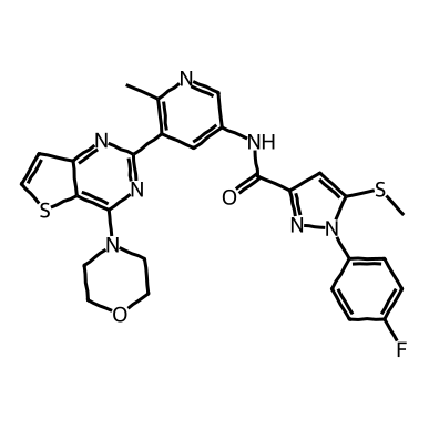 CSc1cc(C(=O)Nc2cnc(C)c(-c3nc(N4CCOCC4)c4sccc4n3)c2)nn1-c1ccc(F)cc1